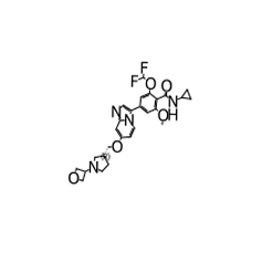 COc1cc(-c2cnc3cc(OC[C@@H]4CCN(C5COC5)C4)ccn23)cc(OC(F)F)c1C(=O)NC1CC1